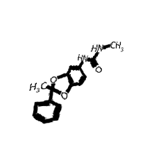 CNC(=O)Nc1ccc2c(c1)OC(C)(c1ccccc1)O2